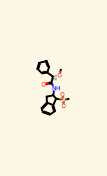 CO[C@H](C(=O)NC1Cc2ccccc2C1S(C)(=O)=O)c1ccccc1